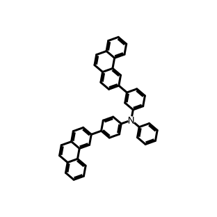 c1ccc(N(c2ccc(-c3ccc4ccc5ccccc5c4c3)cc2)c2cccc(-c3ccc4ccc5ccccc5c4c3)c2)cc1